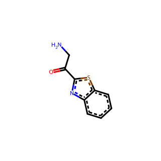 NCC(=O)c1nc2ccccc2s1